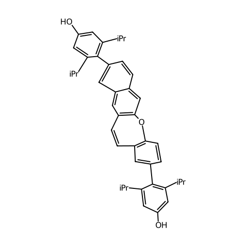 CC(C)c1cc(O)cc(C(C)C)c1-c1ccc2c(c1)C=Cc1cc3cc(-c4c(C(C)C)cc(O)cc4C(C)C)ccc3cc1O2